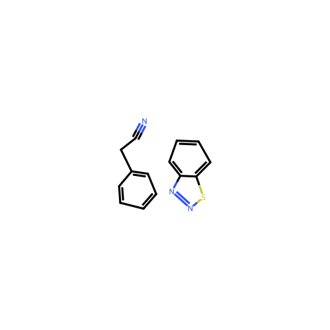 N#CCc1ccccc1.c1ccc2snnc2c1